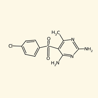 Cc1nc(N)nc(N)c1S(=O)(=O)c1ccc(Cl)cc1